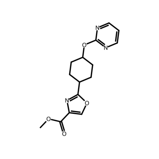 COC(=O)c1coc(C2CCC(Oc3ncccn3)CC2)n1